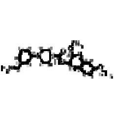 COc1ccc2nc(NC(=O)N3CCN(c4cccc(CN)c4)CC3)c(OC)nc2c1